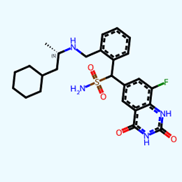 C[C@@H](CC1CCCCC1)NCc1ccccc1C(c1cc(F)c2[nH]c(=O)[nH]c(=O)c2c1)S(N)(=O)=O